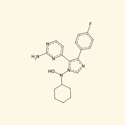 Nc1nccc(-c2c(-c3ccc(F)cc3)ncn2N(O)C2CCCCC2)n1